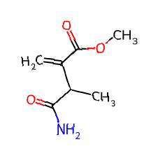 C=C(C(=O)OC)C(C)C(N)=O